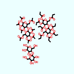 CC(=O)OCC1OC(OC2C(COC(C)=O)OC(OC(C)=O)C(OC(C)=O)C2OC(C)=O)C(OC(C)=O)C(OC(C)=O)C1OC(C)=O.CCC(=O)OCC1OC(OC2C(COC(=O)CC)OC(OC(=O)CC)C(OC(=O)CC)C2OC(=O)CC)C(OC(=O)CC)C(OC(=O)CC)C1OC(=O)CC.OCC1OC(OC2C(CO)OC(O)C(O)C2O)C(O)C(O)C1O